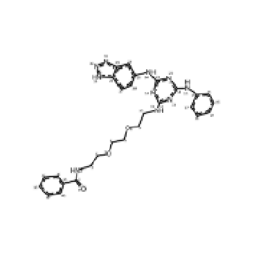 O=C(NCCOCCOCCNc1nc(Nc2ccccc2)nc(Nc2ccc3[nH]nnc3c2)n1)c1ccccc1